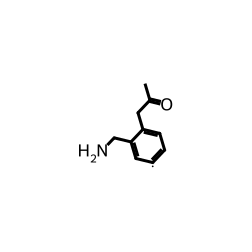 CC(=O)Cc1cc[c]cc1CN